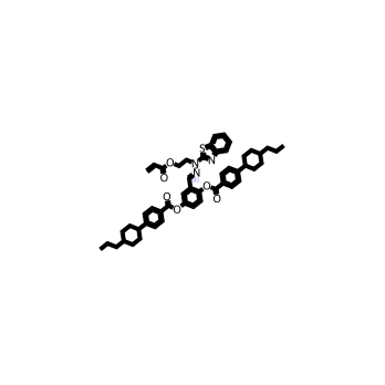 C=CC(=O)OCCN(/N=C/c1cc(OC(=O)c2ccc(C3CCC(CCC)CC3)cc2)ccc1OC(=O)c1ccc(C2CCC(CCC)CC2)cc1)c1nc2ccccc2s1